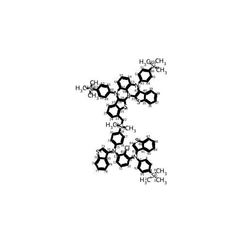 C[Si](C)(C)c1ccc(N(c2cccc(N(c3ccc([Si](C)(C)Cc4cccc5c6c(sc45)B4c5sc7ccccc7c5N(c5ccc([Si](C)(C)C)cc5)c5cccc(c54)N6c4ccc([Si](C)(C)C)cc4)cc3)c3csc4ccccc34)c2Cl)c2csc3ccccc23)cc1